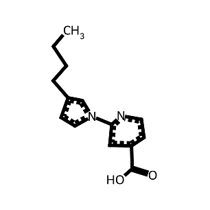 CCCCc1ccn(-c2cc(C(=O)O)ccn2)c1